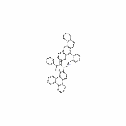 NC(NC(/C=C/c1ccccc1-c1c2ccccc2cc2c1ccc1ccccc12)c1ccc2c3ccccc3c3ccccc3c2c1)c1ccccc1